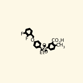 CCN(c1ccc(OCc2cccc(F)c2F)cc1)S(=O)(=O)c1ccc(C)c(C(=O)O)c1